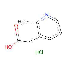 Cc1ncccc1CC(=O)O.Cl